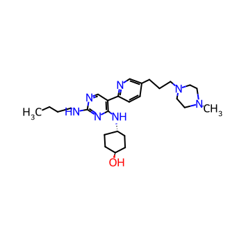 CCCCNc1ncc(-c2ccc(CCCN3CCN(C)CC3)cn2)c(N[C@H]2CC[C@H](O)CC2)n1